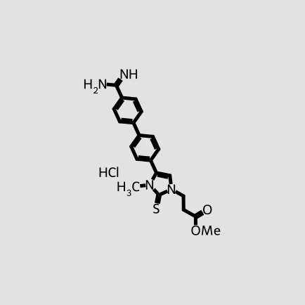 COC(=O)CCn1cc(-c2ccc(-c3ccc(C(=N)N)cc3)cc2)n(C)c1=S.Cl